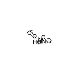 O=C(Nc1ccccc1)N(O)CCOCc1cccs1